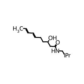 C/C=C/C=C/CCC(O)CC(=O)NCC(C)C